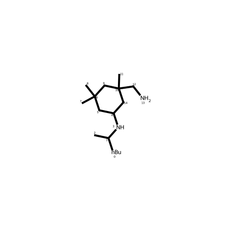 CCCCC(C)NC1CC(C)(C)CC(C)(CN)C1